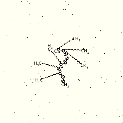 CCCCCCCCCCCCc1cc(C)sc1-c1cc(CCCCCCCCCCCC)c(-c2nc(CCCCCCCCCCCC)c(-c3ccc(-c4ccc(-c5sc(-c6sc(-c7sc(-c8ccc(-c9ccc(C)s9)s8)cc7CCCCCCCCCCCC)cc6CCCCCCCCCCCC)cc5CCCCCCCCCCCC)s4)s3)s2)s1